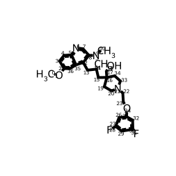 COc1ccc2ncc(N(C)C)c(CCCC3(CO)CCN(CCOc4cc(F)cc(F)c4)CC3)c2c1